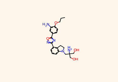 CCCOc1ccc(-c2nc(-c3cccc4c3CCN4CC(N)(CO)CO)no2)cc1N